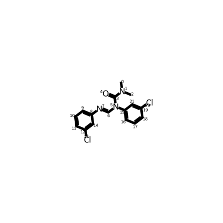 CN(C)C(=O)N(C=Nc1cccc(Cl)c1)c1cccc(Cl)c1